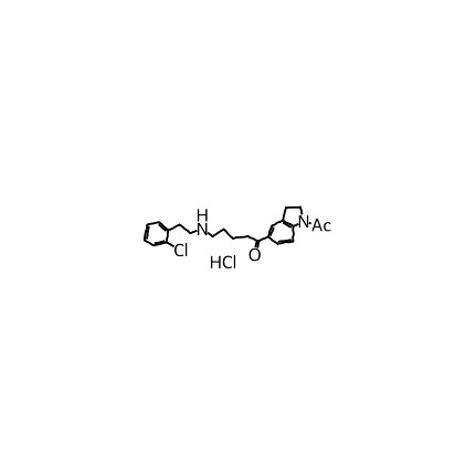 CC(=O)N1CCc2cc(C(=O)CCCCNCCc3ccccc3Cl)ccc21.Cl